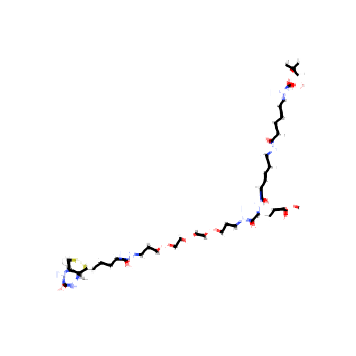 COC(=O)CC[C@H](NC(=O)CCCCCNC(=O)CCCCCNC(=O)OC(C)(C)C)C(=O)NCCCOCCOCCOCCCNC(=O)CCCC[C@@H]1SC[C@@H]2NC(=O)N[C@@H]21